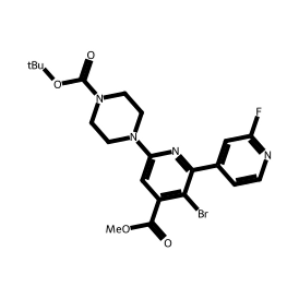 COC(=O)c1cc(N2CCN(C(=O)OC(C)(C)C)CC2)nc(-c2ccnc(F)c2)c1Br